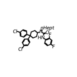 CCCCCCCN(C(=O)Nc1ccc(F)cc1F)C1CCC(c2ccc(Cl)cc2)(c2ccc(Cl)cc2)CC1